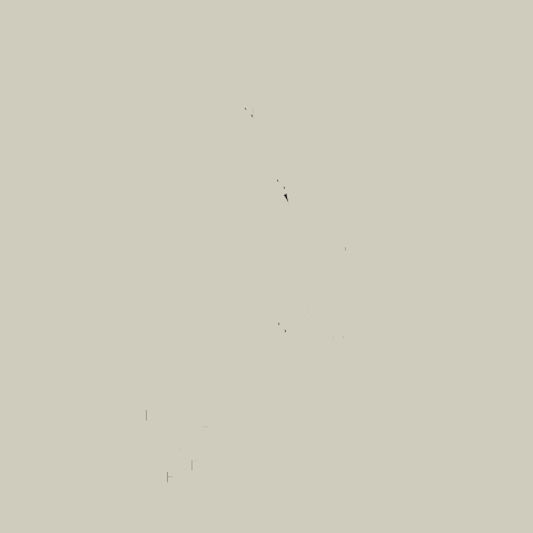 CC(C)N1CCN([C@@H]2CC[C@@](C(=O)NCc3cccc(S(F)(F)(F)(F)F)c3)(C3CC3)OC2)C[C@@H]1C